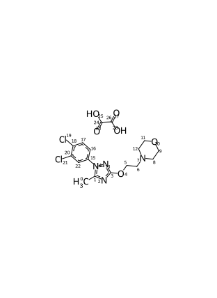 Cc1nc(OCCN2CCOCC2)nn1-c1ccc(Cl)c(Cl)c1.O=C(O)C(=O)O